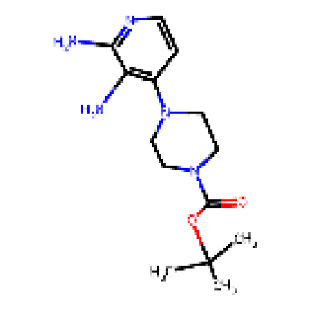 CC(C)(C)OC(=O)N1CCN(c2ccnc(N)c2N)CC1